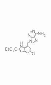 CCOC(=O)c1cc2cc(Cl)cc(Cn3cnc4c(N)ncnc43)c2[nH]1